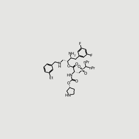 CCCC(CCC)S(=O)(=O)C[C@H](NC(=O)O[C@@H]1CCNC1)C(=O)O[C@H](CNCc1cccc(CC)c1)[C@@H](N)Cc1cc(F)cc(F)c1